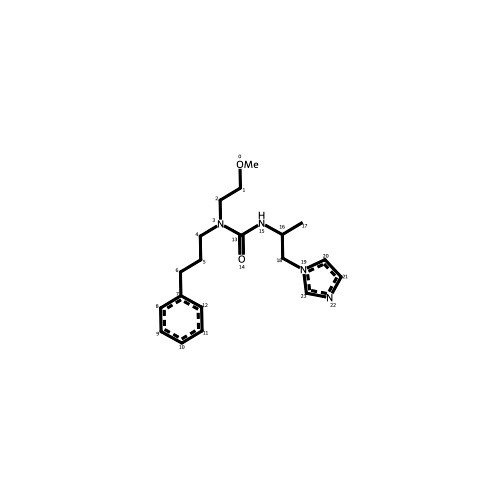 COCCN(CCCc1ccccc1)C(=O)NC(C)Cn1ccnc1